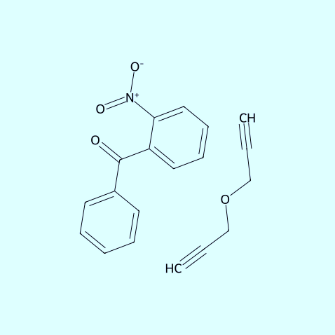 C#CCOCC#C.O=C(c1ccccc1)c1ccccc1[N+](=O)[O-]